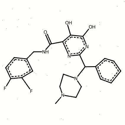 CN1CCN(C(c2ccccc2)c2nc(O)c(O)c(C(=O)NCc3ccc(F)c(F)c3)n2)CC1